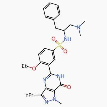 CCCc1nn(C)c2c(=O)[nH]c(-c3cc(S(=O)(=O)NC(Cc4ccccc4)CN(C)C)ccc3OCC)nc12